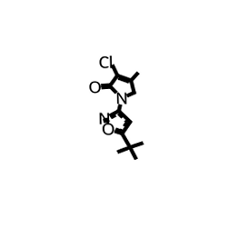 CC1=C(Cl)C(=O)N(c2cc(C(C)(C)C)on2)C1